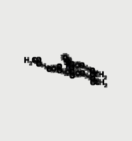 C=CC(=O)OCCCCCOc1ccc(C(=O)OCCc2ccc(OC(=O)c3ccc(OCCCCCOC(=O)C=C)cc3)c(/C=N/N(OC(=O)c3ccc(OCCCCCOC(=O)C=C)cc3)c3nc4ccccc4s3)c2)cc1